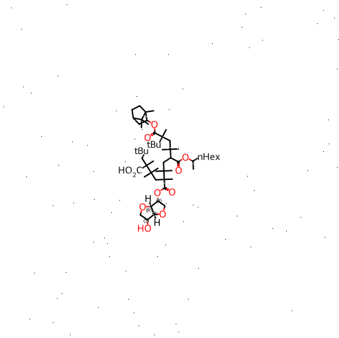 CCCCCCC(C)OC(=O)C(CC(C)(C)C(C)(CC(C)(C)C(C)(CC(C)(C)C)C(=O)O)C(=O)O[C@@H]1CO[C@H]2[C@@H]1OC[C@@H]2O)C(C)(C)CC(C)(C(=O)OC1CC2CCC1(C)C2(C)C)C(C)(C)C